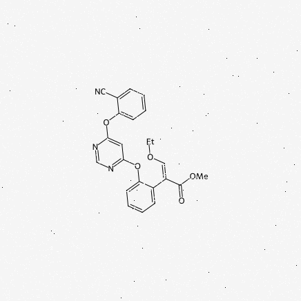 CCO/C=C(/C(=O)OC)c1ccccc1Oc1cc(Oc2ccccc2C#N)ncn1